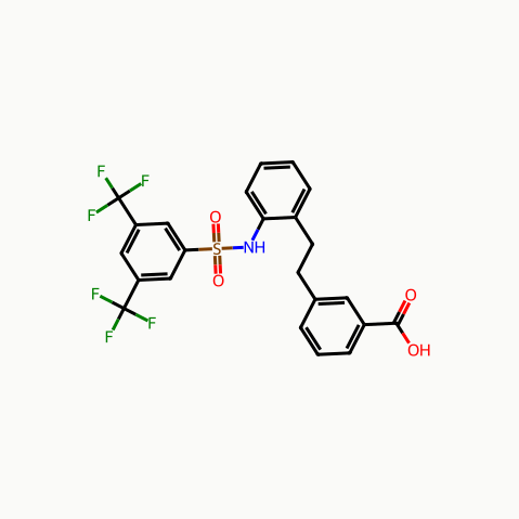 O=C(O)c1cccc(CCc2ccccc2NS(=O)(=O)c2cc(C(F)(F)F)cc(C(F)(F)F)c2)c1